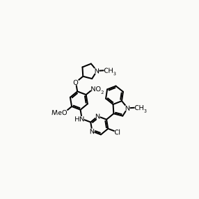 COc1cc(OC2CCN(C)C2)c([N+](=O)[O-])cc1Nc1ncc(Cl)c(-c2cn(C)c3ccccc23)n1